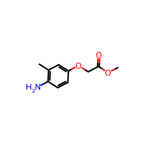 COC(=O)COc1ccc(N)c(C)c1